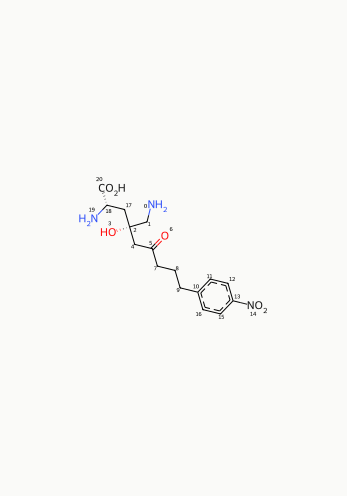 NC[C@@](O)(CC(=O)CCCc1ccc([N+](=O)[O-])cc1)C[C@H](N)C(=O)O